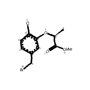 COC(=O)[C@H](C)Oc1cc(CBr)ccc1Cl